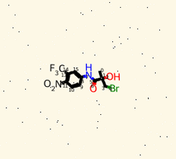 CC(O)(CBr)C(=O)Nc1ccc([N+](=O)[O-])c(C(F)(F)F)c1